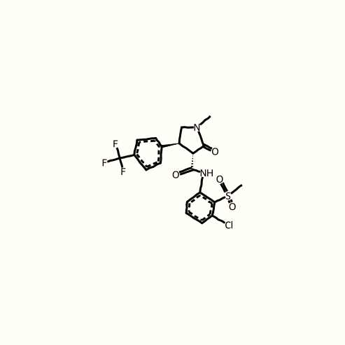 CN1C[C@H](c2ccc(C(F)(F)F)cc2)[C@@H](C(=O)Nc2cccc(Cl)c2S(C)(=O)=O)C1=O